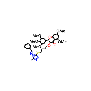 COc1cc(OC)c2c(=O)c(OCCCCSc3nnc(C)n3N=Cc3ccccc3)c(-c3cc(OC)c(OC)c(OC)c3)oc2c1